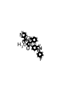 CC1C(=O)N(c2ccc3c(cnn3-c3ccc(F)cc3)c2)C(c2ccccc2Cl)C1NC(=O)c1cccnc1